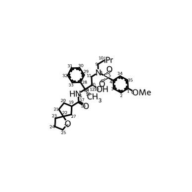 COc1ccc(S(=O)(=O)N(CC(C)C)C[C@@H](O)[C@@](C)(NC(=O)C2CCC3(CCCO3)C2)c2ccccc2)cc1